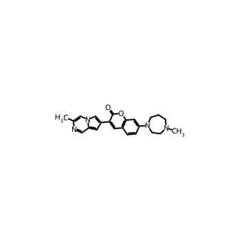 Cc1cn2cc(-c3cc4ccc(N5CCCN(C)CC5)cc4oc3=O)cc2cn1